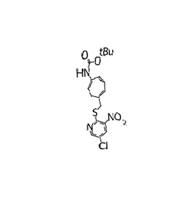 CC(C)(C)OC(=O)NC1=CCC(CSc2ncc(Cl)cc2[N+](=O)[O-])=CC=C1